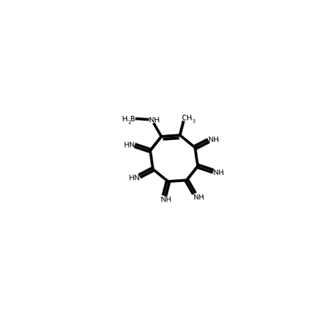 BNc1c(C)c(=N)c(=N)c(=N)c(=N)c(=N)c1=N